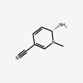 CN1C=C(C#N)C=C[C@@H]1N